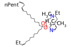 CC/C=C\CCCCCCCCC1(CCCCCCCC/C=C\C/C=C\CCCCC)OCC(CCN(C)C(CC)CC(C)(C)c2ccncc2)O1